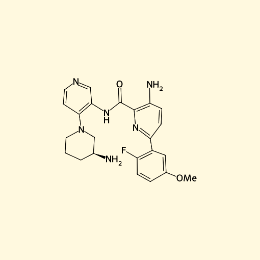 COc1ccc(F)c(-c2ccc(N)c(C(=O)Nc3cnccc3N3CCC[C@H](N)C3)n2)c1